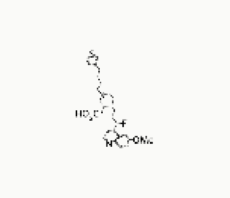 COc1ccc2nccc([C@H](F)CC[C@@H]3CCN(CCCCc4ccsc4)C[C@@H]3CC(=O)O)c2c1